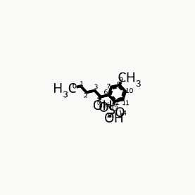 CCCCC(O)c1cc(C)ccc1S(=O)(=O)O